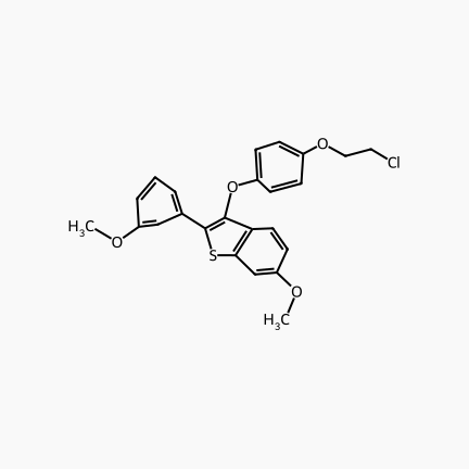 COc1cccc(-c2sc3cc(OC)ccc3c2Oc2ccc(OCCCl)cc2)c1